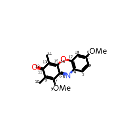 COc1ccc2nc3c(OC)c(C)c(=O)c(C)c-3oc2c1